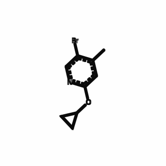 Cc1cc(OC2CC2)ncc1Br